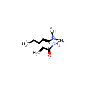 C=CC(N)=O.CCCC=CN(C)C